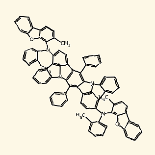 Cc1ccccc1N(c1c(C)ccc2c1oc1ccccc12)c1ccc2c3c(-c4ccccc4)c4c(c(-c5ccccc5)c3n3c5ccccc5c1c23)c1ccc(N(c2ccccc2C)c2c(C)ccc3c2oc2ccccc23)c2c3ccccc3n4c12